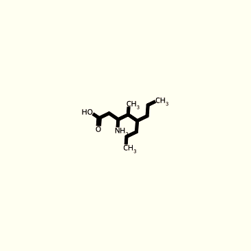 CCCC(CCC)C(C)C(N)CC(=O)O